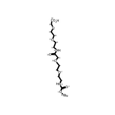 CC(C)(C)OC(=O)NCCOCCOCC(=O)NCCOCCOCC(=O)O